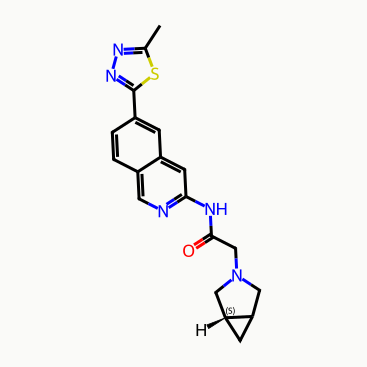 Cc1nnc(-c2ccc3cnc(NC(=O)CN4CC5C[C@@H]5C4)cc3c2)s1